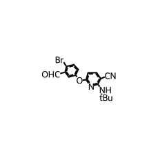 CC(C)(C)Nc1nc(Oc2ccc(Br)c(C=O)c2)ccc1C#N